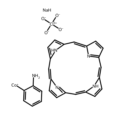 C1=Cc2cc3ccc(cc4nc(cc5ccc(cc1n2)[nH]5)C=C4)[nH]3.Nc1cccc[c]1[Co+].[NaH].[O-][Cl+3]([O-])([O-])[O-]